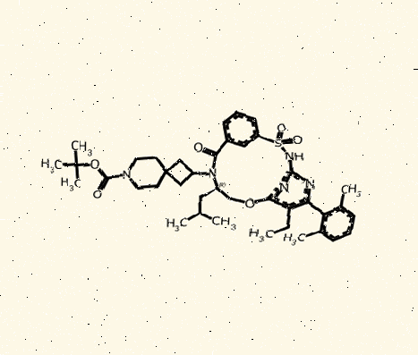 CCc1c2nc(nc1-c1c(C)cccc1C)NS(=O)(=O)c1cccc(c1)C(=O)N(C1CC3(CCN(C(=O)OC(C)(C)C)CC3)C1)[C@H](CC(C)C)CO2